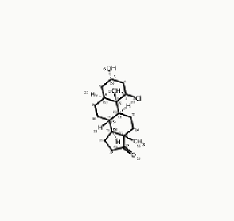 C[C@]12C(Cl)C[C@@H](O)C[C@@H]1CC[C@@H]1[C@@H]2CC[C@]2(C)C(=O)CC[C@@H]12